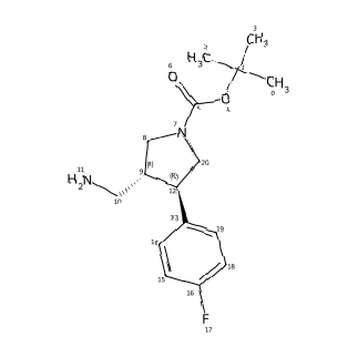 CC(C)(C)OC(=O)N1C[C@@H](CN)[C@H](c2ccc(F)cc2)C1